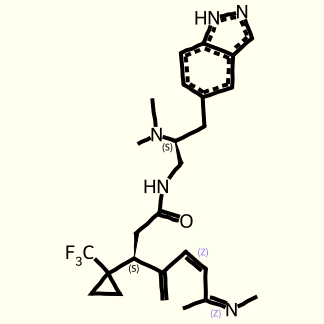 C=C(/C=C\C(C)=N/C)[C@H](CC(=O)NC[C@H](Cc1ccc2[nH]ncc2c1)N(C)C)C1(C(F)(F)F)CC1